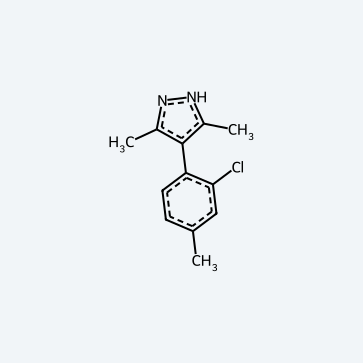 Cc1ccc(-c2c(C)n[nH]c2C)c(Cl)c1